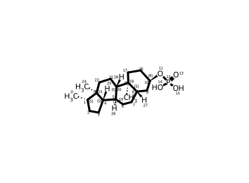 C[C@H]1CC[C@H]2[C@@H]3CC[C@H]4C[C@H](OP(=O)(O)O)CC[C@]4(C)[C@H]3CC[C@]12C